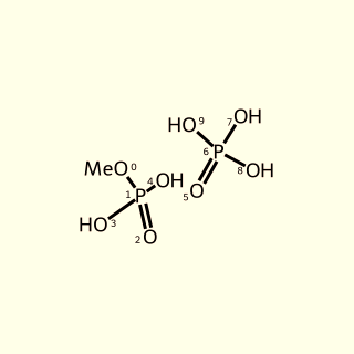 COP(=O)(O)O.O=P(O)(O)O